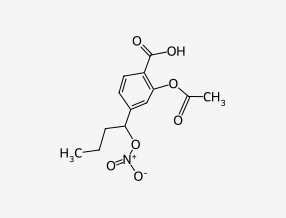 CCCC(O[N+](=O)[O-])c1ccc(C(=O)O)c(OC(C)=O)c1